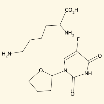 NCCCCC(N)C(=O)O.O=c1[nH]c(=O)n(C2CCCO2)cc1F